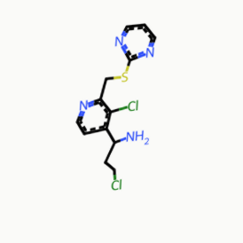 NC(CCCl)c1ccnc(CSc2ncccn2)c1Cl